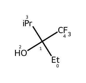 CCC(O)(C(C)C)C(F)(F)F